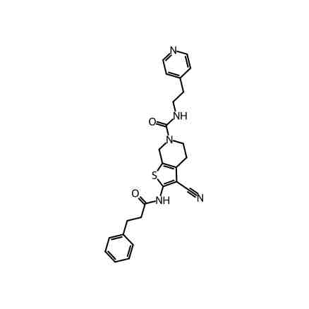 N#Cc1c(NC(=O)CCc2ccccc2)sc2c1CCN(C(=O)NCCc1ccncc1)C2